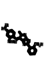 CCNc1ccc(N=C2C(C)=Nn3nc(-c4ccccc4C(=O)O)nc32)c(NC(C)=O)c1